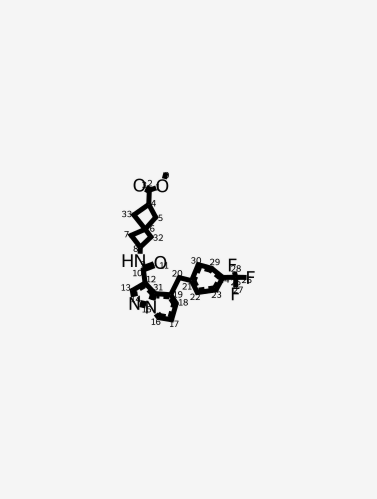 COC(=O)C1CC2(CC(NC(=O)c3cnn4cccc(Cc5ccc(C(F)(F)F)cc5)c34)C2)C1